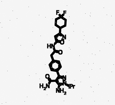 CC(C)n1nc(-c2ccc(CC(=O)Nc3cc(C4CCC(F)(F)CC4)no3)cc2)c(C(N)=O)c1N